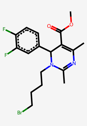 COC(=O)C1=C(C)N=C(C)N(CCCCBr)C1c1ccc(F)c(F)c1